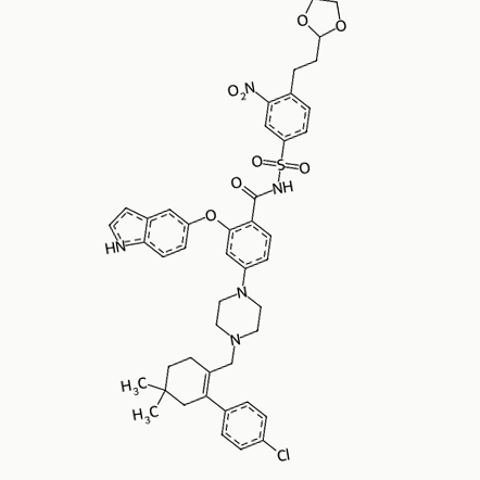 CC1(C)CCC(CN2CCN(c3ccc(C(=O)NS(=O)(=O)c4ccc(CCC5OCCO5)c([N+](=O)[O-])c4)c(Oc4ccc5[nH]ccc5c4)c3)CC2)=C(c2ccc(Cl)cc2)C1